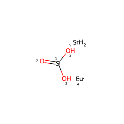 O=[Si](O)O.[Eu].[SrH2]